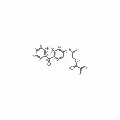 C=C(C)C(=O)OCC(C)Oc1ccc(C(=O)c2ccccc2)c(O)c1